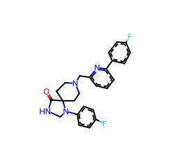 O=C1NCN(c2ccc(F)cc2)C12CCN(Cc1cccc(-c3ccc(F)cc3)n1)CC2